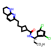 O=C(O)C[C@H](NC(=O)C1CC(CCc2ccc3c(n2)NCCC3)C1)c1cc(Cl)cc(Cl)c1